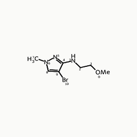 COCCNc1nn(C)cc1Br